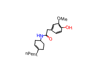 CCCCCC1=CCC(NC(=O)Cc2ccc(O)c(OC)c2)CC1